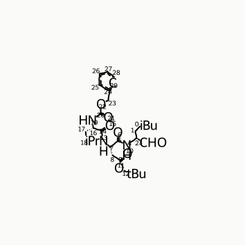 CCC(C)C[C@@H](C=O)NC(=O)[C@H](CC(=O)OC(C)(C)C)NC(=O)[C@H](CC(C)C)NC(=O)OCc1ccccc1